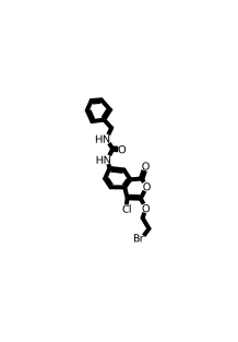 O=C(NCc1ccccc1)Nc1ccc2c(Cl)c(OCCBr)oc(=O)c2c1